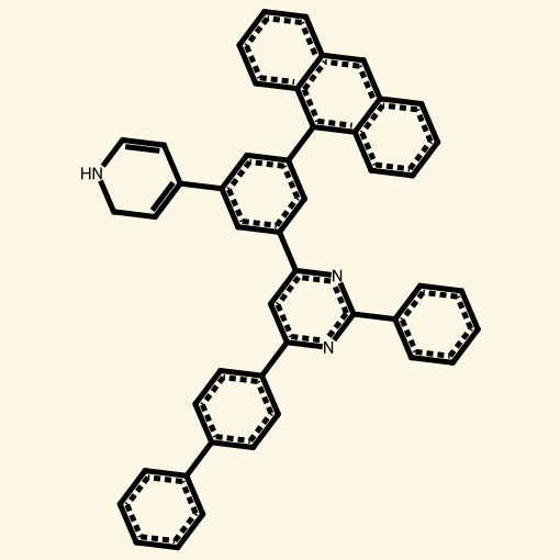 C1=CC(c2cc(-c3cc(-c4ccc(-c5ccccc5)cc4)nc(-c4ccccc4)n3)cc(-c3c4ccccc4cc4ccccc34)c2)=CCN1